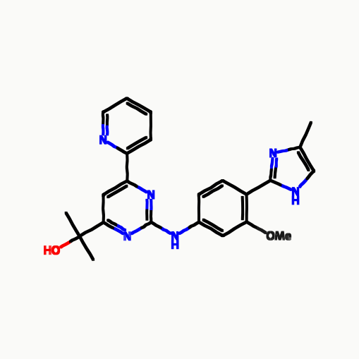 COc1cc(Nc2nc(-c3ccccn3)cc(C(C)(C)O)n2)ccc1-c1nc(C)c[nH]1